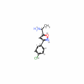 CC(N)c1cc(-c2ccc(Cl)cc2)no1